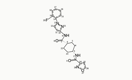 O=C(N[C@H]1CC[C@@H](C(=O)Nc2ccn(-c3ccccc3F)n2)CC1)c1ccon1